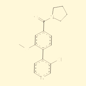 COc1cc(C(=O)N2CCCC2)ccc1-c1ccncc1Cl